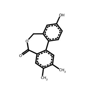 Cc1cc2c(cc1C)-c1ccc(O)cc1COC2=O